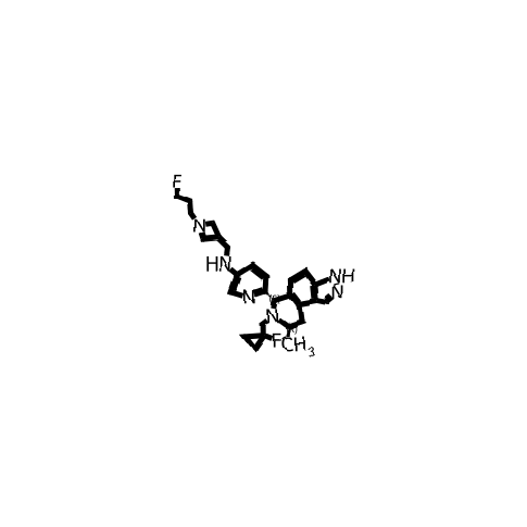 C[C@@H]1Cc2c(ccc3[nH]ncc23)[C@@H](c2ccc(NCC3CN(CCCF)C3)cn2)N1CC1(F)CC1